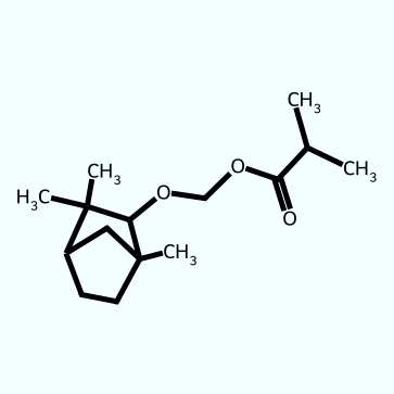 CC(C)C(=O)OCOC1C2(C)CCC(C2)C1(C)C